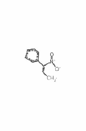 [CH2]/C=C(/c1ccccc1)[N+](=O)[O-]